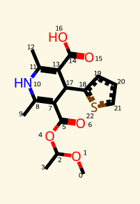 COC(C)OC(=O)C1=C(C)NC(C)=C(C(=O)O)C1c1cccs1